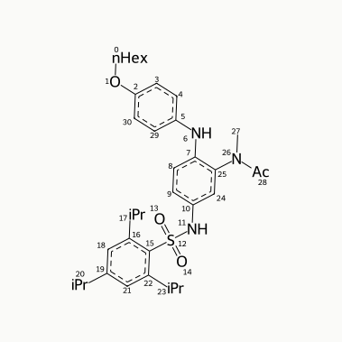 CCCCCCOc1ccc(Nc2ccc(NS(=O)(=O)c3c(C(C)C)cc(C(C)C)cc3C(C)C)cc2N(C)C(C)=O)cc1